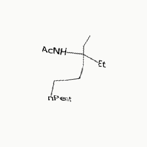 CCCCCCCC(C)(CC)NC(C)=O